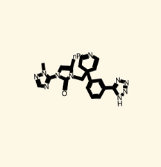 CCCc1cn(-c2ncnn2C)c(=O)n1CC1(c2cccc(-c3nnn[nH]3)c2)C=CN=CC1